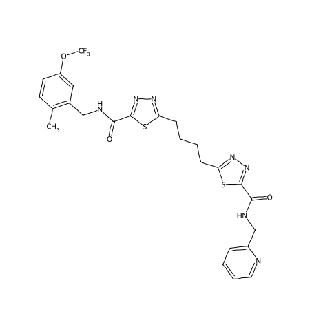 Cc1ccc(OC(F)(F)F)cc1CNC(=O)c1nnc(CCCCc2nnc(C(=O)NCc3ccccn3)s2)s1